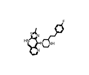 Cc1nc2c(s1)NC=c1cccnc1=C2N1CCNC(CCc2ccc(F)cc2)C1